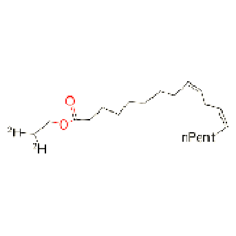 [2H]C([2H])COC(=O)CCCCCCC/C=C\C/C=C\CCCCC